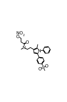 Cc1c(CCN(C)C(=O)CCO[N+](=O)[O-])cc(-c2ccc(S(C)(=O)=O)cc2)n1-c1ccccc1